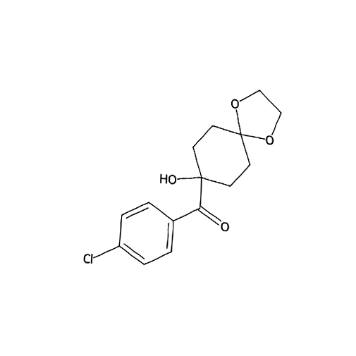 O=C(c1ccc(Cl)cc1)C1(O)CCC2(CC1)OCCO2